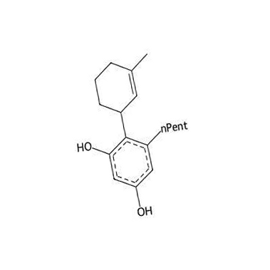 CCCCCc1cc(O)cc(O)c1C1C=C(C)CCC1